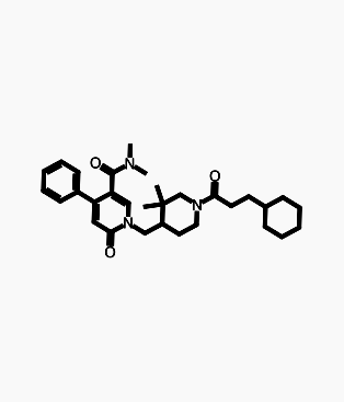 CN(C)C(=O)c1cn(CC2CCN(C(=O)CCC3CCCCC3)CC2(C)C)c(=O)cc1-c1ccccc1